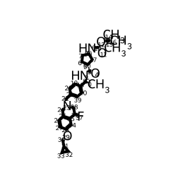 C[C@H](NC(=O)[C@@H]1CC[C@H](NC(=O)OC(C)(C)C)C1)c1ccc(CN2Cc3ccc(OCC4CC4)cc3C(F)C2)cc1